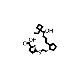 CCC1(C(O)C/C=C/C2=CCC[C@@H]2CCSc2ccc(C(=O)O)s2)CCC1